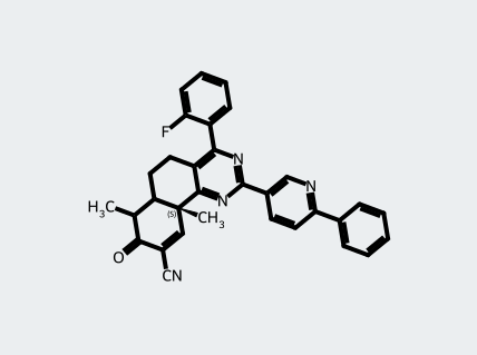 CC1C(=O)C(C#N)=C[C@@]2(C)c3nc(-c4ccc(-c5ccccc5)nc4)nc(-c4ccccc4F)c3CCC12